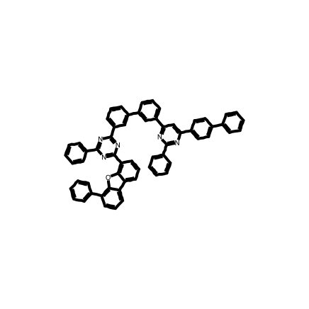 c1ccc(-c2ccc(-c3cc(-c4cccc(-c5cccc(-c6nc(-c7ccccc7)nc(-c7cccc8c7oc7c(-c9ccccc9)cccc78)n6)c5)c4)nc(-c4ccccc4)n3)cc2)cc1